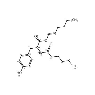 CCCCC=COC(=O)[C@H](Cc1ccc(O)cc1)NC(=O)CCCCC